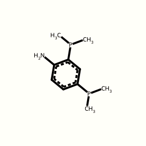 CP(C)c1ccc(N)c(P(C)C)c1